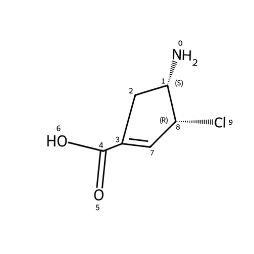 N[C@H]1CC(C(=O)O)=C[C@H]1Cl